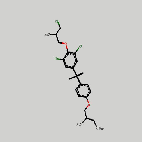 COCC(COc1ccc(C(C)(C)c2cc(Cl)c(OCC(CCl)OC(C)=O)c(Cl)c2)cc1)OC(C)=O